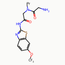 CC(C)N(CC(=O)Nc1nc2ccc(OC(F)(F)F)cc2s1)C(=O)CN